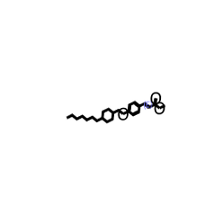 CCCCCCCC1CCC(COc2ccc(/C=C/C(=O)OC)cc2)CC1